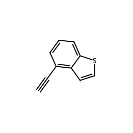 C#Cc1cccc2sc[c]c12